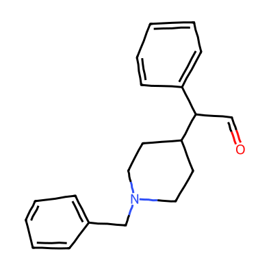 O=CC(c1ccccc1)C1CCN(Cc2ccccc2)CC1